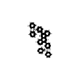 c1ccc(N(c2ccccc2)c2cccc(-c3cc4c5ccccc5c(-c5cccc(N(c6ccccc6)c6ccccc6)c5)cc4c4ccccc34)c2)cc1